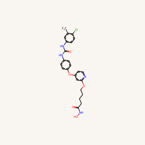 O=C(CCCCOc1cc(Oc2ccc(NC(=O)Nc3ccc(Cl)c(C(F)(F)F)c3)cc2)ccn1)NO